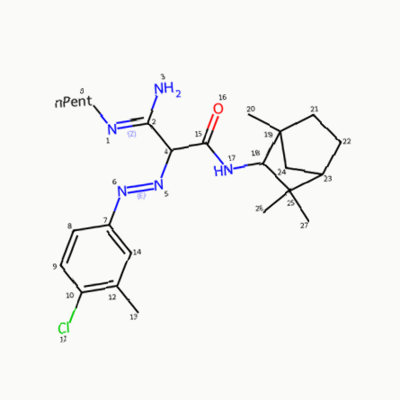 CCCCC/N=C(\N)C(/N=N/c1ccc(Cl)c(C)c1)C(=O)NC1C2(C)CCC(C2)C1(C)C